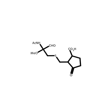 COC(C=O)(CSCC1C(=O)CCC1C(=O)O)NC(C)=O